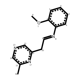 COc1ccccc1N=CCc1cncc(C)n1